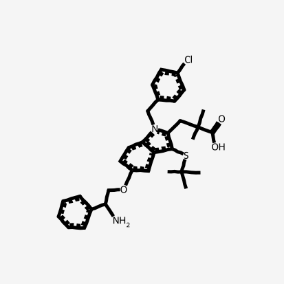 CC(C)(C)Sc1c(CC(C)(C)C(=O)O)n(Cc2ccc(Cl)cc2)c2ccc(OCC(N)c3ccccc3)cc12